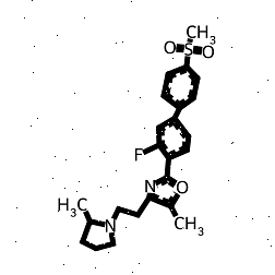 Cc1oc(-c2ccc(-c3ccc(S(C)(=O)=O)cc3)cc2F)nc1CCN1CCCC1C